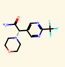 NC(=O)[C@H](c1cnc(C(F)(F)F)nc1)N1CCOCC1